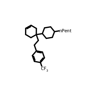 CCCCCC1CCC(C2(CCc3ccc(C(F)(F)F)cc3)CC=CCC2)CC1